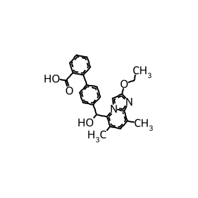 CCOc1cn2c(C(O)c3ccc(-c4ccccc4C(=O)O)cc3)c(C)cc(C)c2n1